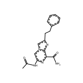 CC(=O)Nc1cn2[c]c(CCc3ccccc3)nc2c(C(N)=O)n1